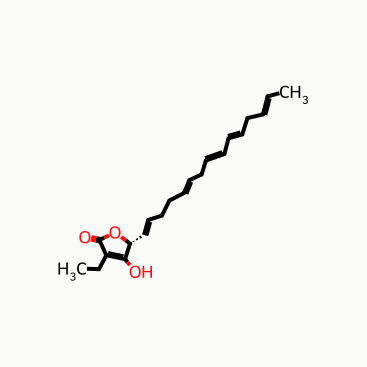 C/C=C/C/C=C/C=C/C/C=C/CC/C=C/[C@H]1OC(=O)C(CC)=C1O